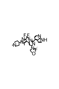 Cc1c(-c2cc(N3CCOC[C@H]3C)nc(-c3ccnc4[nH]ccc34)n2)c(C(F)(F)F)nn1C1CCN(C)CC1